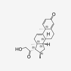 C[C@@H]1C[C@H]2[C@@H]3CCC4=CC(=O)C=C[C@]4(C)C3=CC[C@]2(C)[C@H]1C(=O)CO